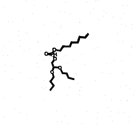 CCCCCCCCO[PH](=O)OCC(OCCCC)OCCCC